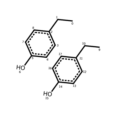 CCc1ccc(O)cc1.CCc1ccc(O)cc1